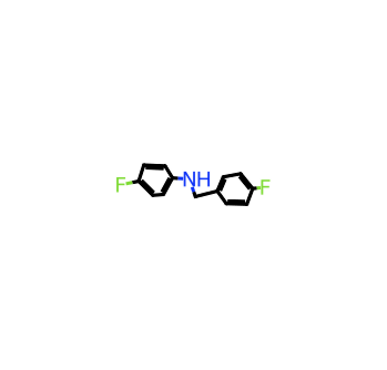 Fc1ccc(CNc2ccc(F)cc2)cc1